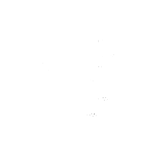 COc1ccc(-c2cccc3c2CCC3=O)c(OCC2(OC(=O)CC(C)C)CC2)c1OC